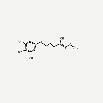 CO/N=C(\C)CCCOc1cc(C)c(Br)c(C)c1